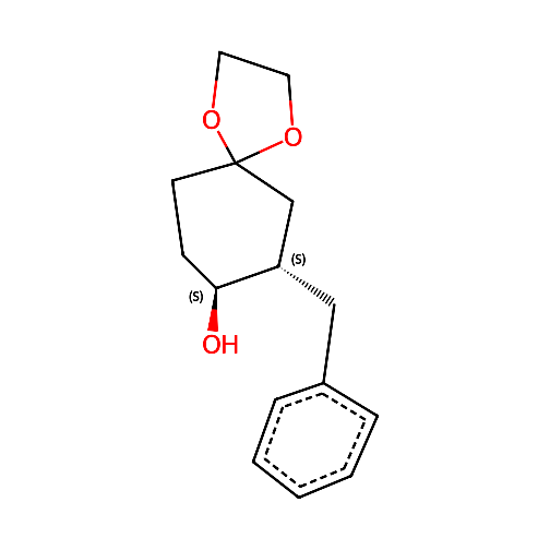 O[C@H]1CCC2(C[C@@H]1Cc1ccccc1)OCCO2